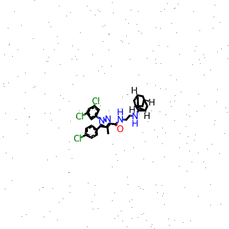 Cc1c(C(=O)NCCNC2[C@H]3C[C@@H]4C[C@@H](C[C@H]2C4)C3)nn(-c2cc(Cl)cc(Cl)c2)c1-c1ccc(Cl)cc1